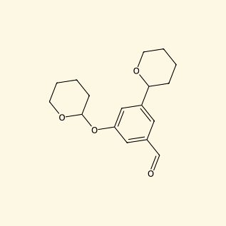 O=Cc1cc(OC2CCCCO2)cc(C2CCCCO2)c1